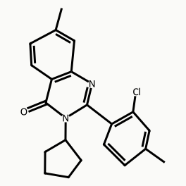 Cc1ccc(-c2nc3cc(C)ccc3c(=O)n2C2CCCC2)c(Cl)c1